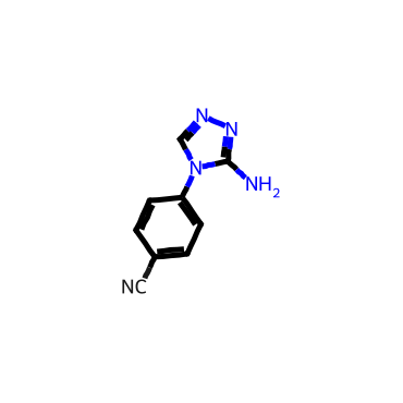 N#Cc1ccc(-n2cnnc2N)cc1